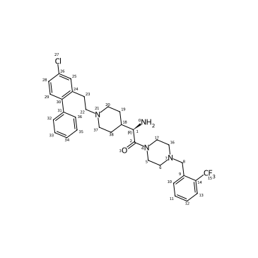 N[C@@H](C(=O)N1CCN(Cc2ccccc2C(F)(F)F)CC1)C1CCN(CCc2cc(Cl)ccc2-c2ccccc2)CC1